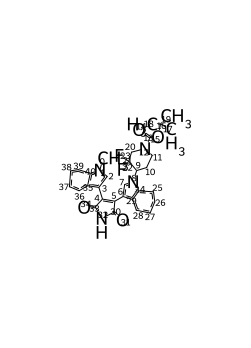 Cn1cc(C2=C(c3cn(C4CCN(C(=O)OC(C)(C)C)CC4(F)F)c4ccccc34)C(=O)NC2=O)c2ccccc21